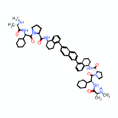 CN[C@@H](C)C(=O)NC(C(=O)N1CCC[C@H]1C(=O)N[C@@H]1CCCc2c(-c3ccc4cc(-c5cccc6c5CCC[C@H]6NC(=O)[C@@H]5CCCN5C(=O)[C@@H](NC(=O)[C@H](C)NC)C5CCCCC5)ccc4c3)cccc21)C1CCCCC1